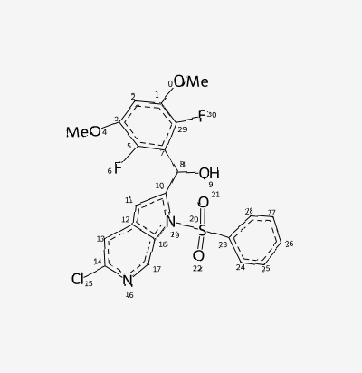 COc1cc(OC)c(F)c(C(O)c2cc3cc(Cl)ncc3n2S(=O)(=O)c2ccccc2)c1F